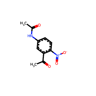 CC(=O)Nc1ccc([N+](=O)[O-])c(C(C)=O)c1